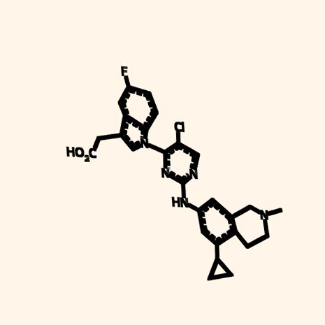 CN1CCc2c(cc(Nc3ncc(Cl)c(-n4cc(CC(=O)O)c5cc(F)ccc54)n3)cc2C2CC2)C1